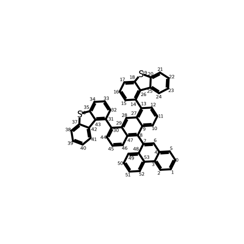 c1ccc2c(c1)cc(-c1c3cccc(-c4cccc5sc6ccccc6c45)c3cc3c(-c4cccc5sc6ccccc6c45)cccc13)c1ccccc12